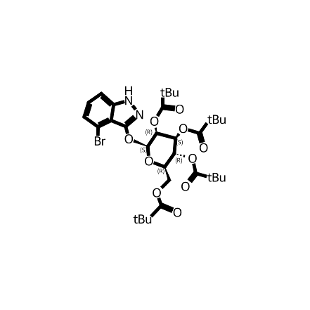 CC(C)(C)C(=O)OC[C@H]1O[C@@H](Oc2n[nH]c3cccc(Br)c23)[C@H](OC(=O)C(C)(C)C)[C@@H](OC(=O)C(C)(C)C)[C@@H]1OC(=O)C(C)(C)C